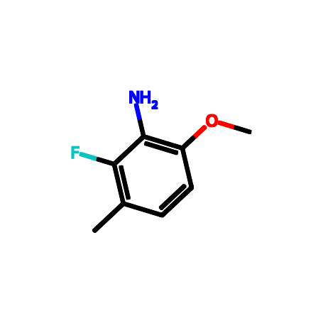 COc1ccc(C)c(F)c1N